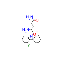 NC(=O)CC[C@H](N)C1=NC2(c3ccccc3Cl)CCCC(O1)C2=O